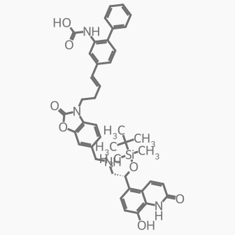 CC(C)(C)[Si](C)(C)O[C@@H](CNCc1ccc2c(c1)oc(=O)n2CC/C=C/c1ccc(-c2ccccc2)c(NC(=O)O)c1)c1ccc(O)c2[nH]c(=O)ccc12